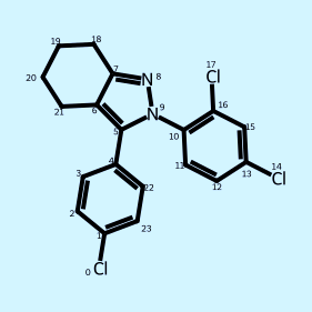 Clc1ccc(-c2c3c(nn2-c2ccc(Cl)cc2Cl)CCCC3)cc1